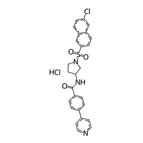 Cl.O=C(NC1CCN(S(=O)(=O)c2ccc3cc(Cl)ccc3c2)C1)c1ccc(-c2ccncc2)cc1